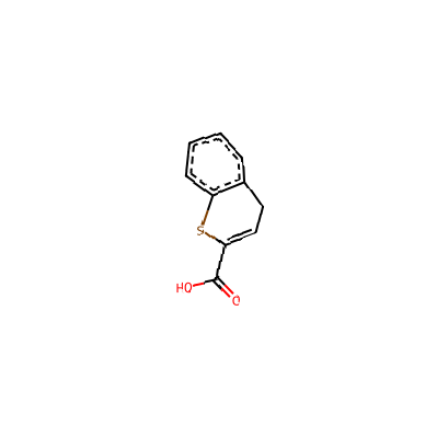 O=C(O)C1=CCc2ccccc2S1